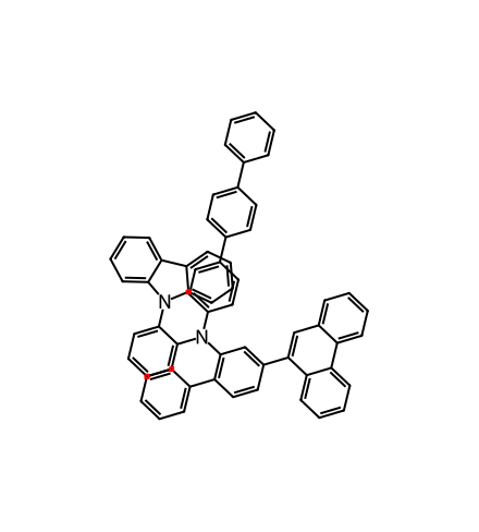 c1ccc(-c2ccc(-c3ccc(N(c4cc(-c5cc6ccccc6c6ccccc56)ccc4-c4ccccc4)c4ccccc4-n4c5ccccc5c5ccccc54)cc3)cc2)cc1